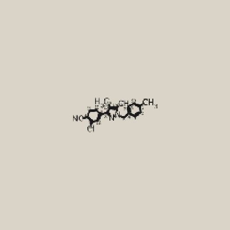 Cc1ccc(Cn2nc(-c3ccc(C#N)c(Cl)c3)c(C)c2C)cc1